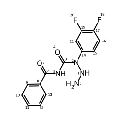 NNN(C(=O)NC(=O)c1ccccc1)c1ccc(F)c(F)c1